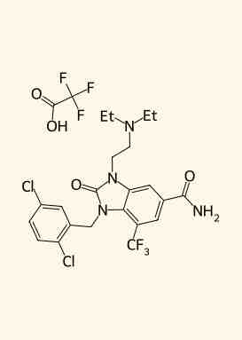 CCN(CC)CCn1c(=O)n(Cc2cc(Cl)ccc2Cl)c2c(C(F)(F)F)cc(C(N)=O)cc21.O=C(O)C(F)(F)F